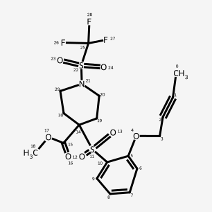 CC#CCOc1ccccc1S(=O)(=O)C1(C(=O)OC)CCN(S(=O)(=O)C(F)(F)F)CC1